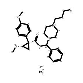 COc1ccc([C@@]2(C(=O)OC(c3ccccc3)N3CCN(CCCCl)CC3)C[C@@H]2OC)cc1.Cl.Cl